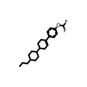 CCCC1CCC(C2CC=C(c3ccc(OC(F)F)cc3)CC2)CC1